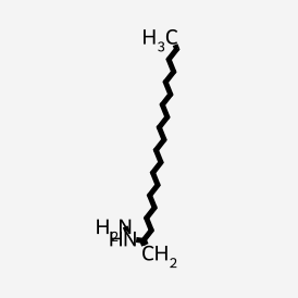 C=C(CCCCCCCCCCCCCCCCCC)NN